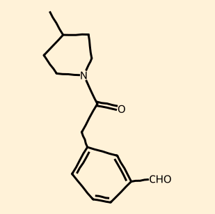 CC1CCN(C(=O)Cc2cccc(C=O)c2)CC1